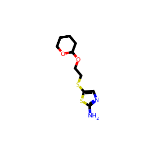 Nc1ncc(SCCOC2CCCCO2)s1